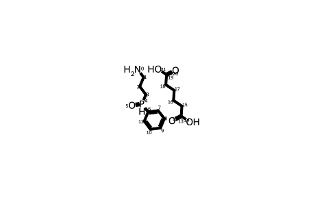 NCCC[PH](=O)c1ccccc1.O=C(O)CCCCC(=O)O